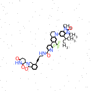 CC(C)c1cc(N2CCCc3cc(-c4ccc(C(=O)NCCC#Cc5cccc6c5CN(C5CCC(=O)NC5=O)C6=O)nc4)c(C(F)(F)F)cc32)cc2c1n(C)c(=O)n2C